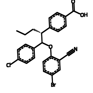 CCC[C@H](c1ccc(C(=O)O)cc1)C(Oc1ccc(Br)cc1C#N)c1ccc(Cl)cc1